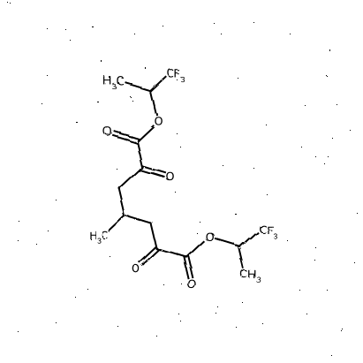 CC(CC(=O)C(=O)OC(C)C(F)(F)F)CC(=O)C(=O)OC(C)C(F)(F)F